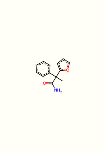 CC(C(N)=O)(c1cc[c]cc1)c1ccco1